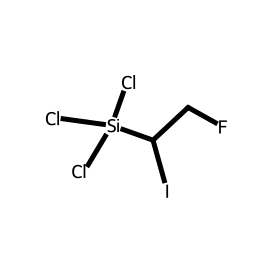 FCC(I)[Si](Cl)(Cl)Cl